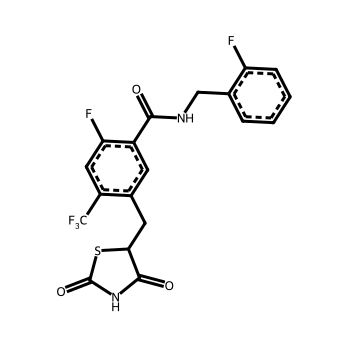 O=C1NC(=O)C(Cc2cc(C(=O)NCc3ccccc3F)c(F)cc2C(F)(F)F)S1